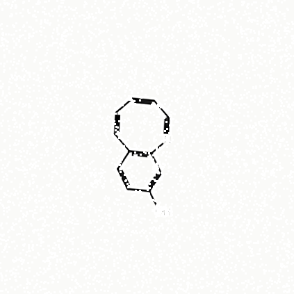 Oc1ccc2c(c1)\N=C/C=C\C=C/2